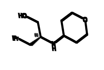 CC(C)C[C@H](CO)NC1CCOCC1